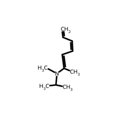 C=C/C=C\C=C(/C)N(C)C(C)C